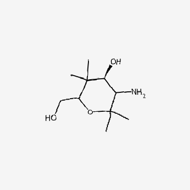 CC1(C)OC(CO)C(C)(C)[C@@H](O)C1N